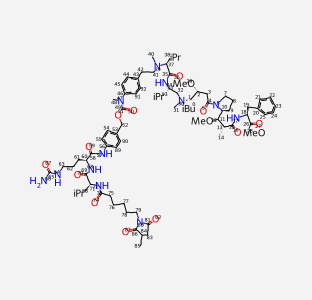 CC[C@H](C)[C@@H]([C@@H](CC(=O)N1CCC[C@H]1[C@H](OC)[C@@H](C)C(=O)N[C@@H](Cc1ccccc1)C(=O)OC)OC)N(C)C[C@@H](NC(=O)[C@H](C(C)C)N(C)CCc1ccc(N(C)C(=O)OCc2ccc(NC(=O)[C@H](CCCNC(N)=O)NC(=O)[C@@H](NC(=O)CCCCCN3C(=O)CC(C)C3=O)C(C)C)cc2)cc1)C(C)C